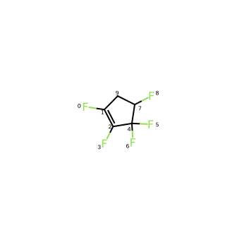 FC1=C(F)C(F)(F)C(F)C1